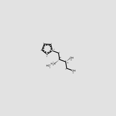 Cl.N[C@H](Cn1cccn1)[C@H](O)CO